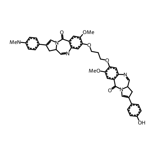 CNc1ccc(C2=CN3C(=O)c4cc(OC)c(OCCCOc5cc6c(cc5OC)C(=O)N5C=C(c7ccc(O)cc7)CC5C=N6)cc4N=CC3C2)cc1